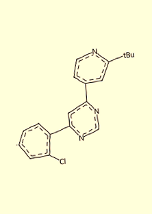 CC(C)(C)c1cc(-c2cc(-c3cc[c]cc3Cl)ncn2)ccn1